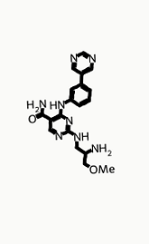 COCC(N)CNc1ncc(C(N)=O)c(Nc2cccc(-c3cncnc3)c2)n1